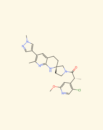 COc1cc([C@@H](C)C(=O)N2CC[C@@]3(CCc4cc(-c5cnn(C)c5)c(C)nc4N3)C2)c(Cl)cn1